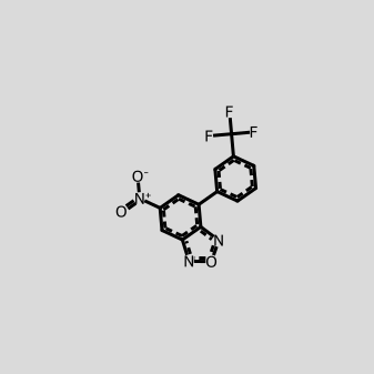 O=[N+]([O-])c1cc(-c2cccc(C(F)(F)F)c2)c2nonc2c1